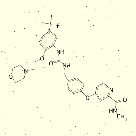 CNC(=O)c1cc(Oc2ccc(CNC(=O)Nc3cc(C(F)(F)F)ccc3OCCN3CCOCC3)cc2)ccn1